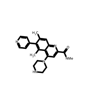 CNC(=O)c1cc(N2CCNCC2)c2c(C)c(-c3ccncc3)c(C)cc2n1